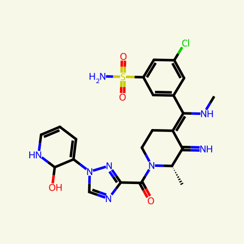 CN/C(=C1/CCN(C(=O)c2ncn(C3=CC=CNC3O)n2)[C@@H](C)C1=N)c1cc(Cl)cc(S(N)(=O)=O)c1